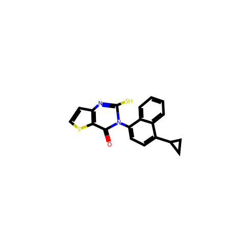 O=c1c2sccc2nc(S)n1-c1ccc(C2CC2)c2ccccc12